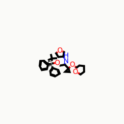 CC(C)(C)[Si](OCC(NC1CCOC1)C1(OC2CCCCO2)CC1)(c1ccccc1)c1ccccc1